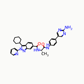 C[C@H](NC(=O)c1ccc2c(C3CCCCC3)n(-c3ccccn3)nc2c1)C(=O)Nc1ccc(-c2cnc(N)nc2)cc1